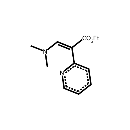 CCOC(=O)/C(=C/N(C)C)c1ccccn1